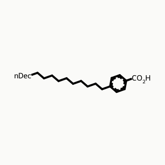 CCCCCCCCCCCCCCCCCCCCc1ccc(C(=O)O)cc1